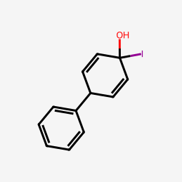 OC1(I)C=CC(c2ccccc2)C=C1